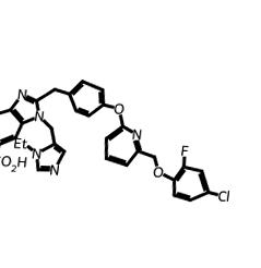 CCn1cncc1Cn1c(Cc2ccc(Oc3cccc(COc4ccc(Cl)cc4F)n3)cc2)nc2ccc(C(=O)O)cc21